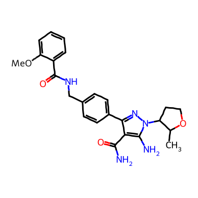 COc1ccccc1C(=O)NCc1ccc(-c2nn(C3CCOC3C)c(N)c2C(N)=O)cc1